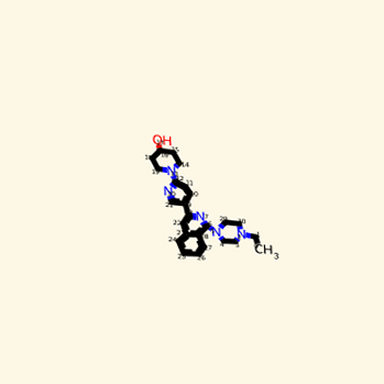 CCN1CCN(c2nc(-c3ccc(N4CCC(O)CC4)nc3)cc3ccccc23)CC1